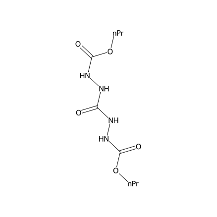 CCCOC(=O)NNC(=O)NNC(=O)OCCC